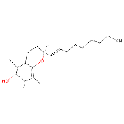 CC1=C2O[C@](C)(/C=C/CCCCCCC#N)CCC2C(C)[C@@H](O)C1C